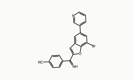 N#Cc1ccc(C(=N)c2cc3cc(-c4cccnc4)cc(Br)c3o2)cc1